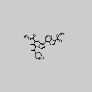 C=C(c1c(C)c(C(=O)OC(C)C)cc2c(-c3ccnc4c3CCN4C(=O)OC(C)(C)C)ccn12)N1CCNCC1